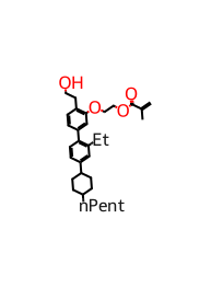 C=C(C)C(=O)OCCOc1cc(-c2ccc(C3CCC(CCCCC)CC3)cc2CC)ccc1CCO